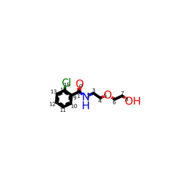 O=C(NCCOCCO)c1ccccc1Cl